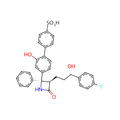 O=C1N[C@@](c2ccccc2)(c2ccc(-c3ccc(S(=O)(=O)O)cc3)c(O)c2)[C@H]1CC[C@H](O)c1ccc(F)cc1